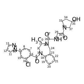 C[C@@H]1CN(C(=O)c2ccc(-n3cccn3)cc2Cl)c2ccccc2CN1C(=O)NCC(=O)N1CC[C@H](O)C1